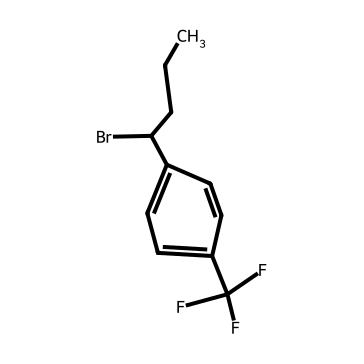 CCCC(Br)c1ccc(C(F)(F)F)cc1